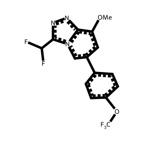 COc1cc(-c2ccc(OC(F)(F)F)cc2)cn2c(C(F)F)nnc12